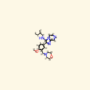 CCC(C)CNc1c(-c2ccc(OC)c(CN3CCOCC3)c2)nc2cnccn12